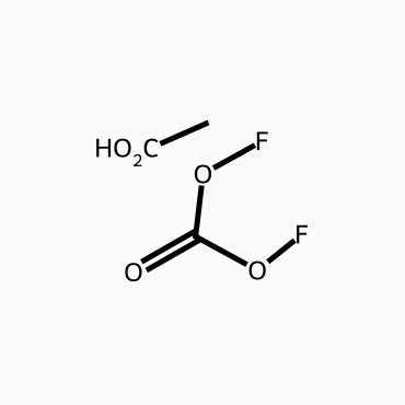 CC(=O)O.O=C(OF)OF